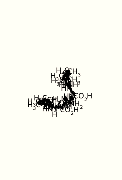 Cc1c(C)c(S(=O)(=O)NC(=N)NCCC[C@H](NC(=O)c2nc(N)c(C(=O)N[C@@H](CCCNC(=N)NS(=O)(=O)c3c(C)c(C)c4c(c3C)CC(C)(C)O4)C(=O)O)nc2N)C(=O)O)c(C)c2c1OC(C)(C)C2